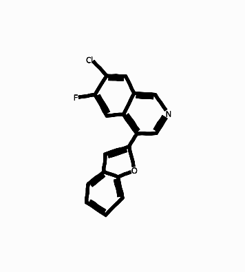 Fc1cc2c(-c3cc4ccccc4o3)cncc2cc1Cl